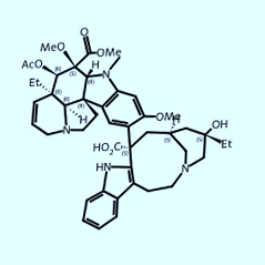 CC[C@]1(O)C[C@H]2CN(CCc3c([nH]c4ccccc34)[C@@](C(=O)O)(c3cc4c(cc3OC)N(C)[C@H]3[C@@](OC)(C(=O)OC)[C@H](OC(C)=O)[C@]5(CC)C=CCN6CC[C@]43[C@@H]65)C2)C1